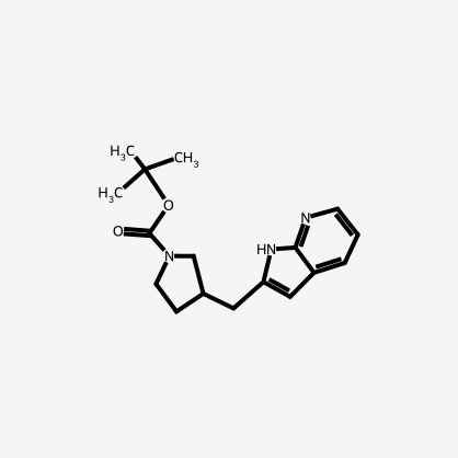 CC(C)(C)OC(=O)N1CCC(Cc2cc3cccnc3[nH]2)C1